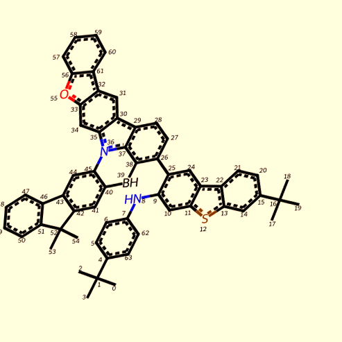 CC(C)(C)c1ccc(Nc2cc3sc4cc(C(C)(C)C)ccc4c3cc2-c2ccc3c4cc5c(cc4n4c3c2Bc2cc3c(cc2-4)-c2ccccc2C3(C)C)oc2ccccc25)cc1